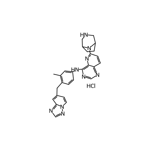 Cc1cc(Nc2ncnc3ccc(N4C5CCC4CNC5)nc23)ccc1Cc1ccn2ncnc2c1.Cl